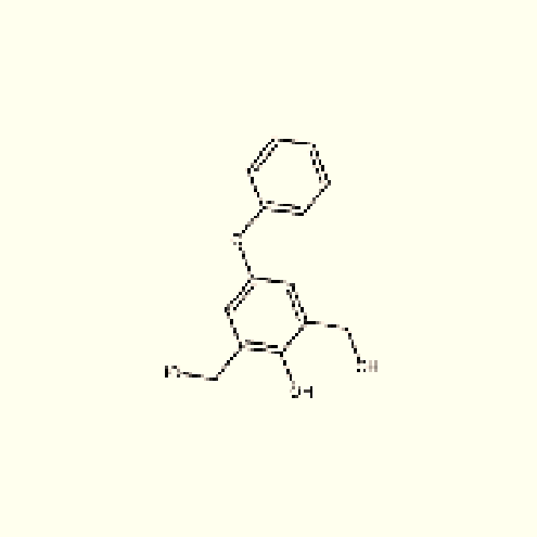 OCc1cc(Oc2ccccc2)cc(CO)c1O